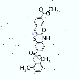 COC(=O)c1ccc(/C=C2/Sc3cc(S(=O)(=O)Cc4c(C)cccc4C)ccc3NC2=O)cc1